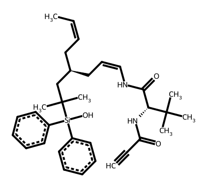 C#CC(=O)N[C@H](C(=O)N/C=C\C[C@H](C/C=C\C)CC(C)(C)[Si](O)(c1ccccc1)c1ccccc1)C(C)(C)C